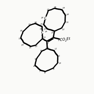 CCOC(=O)C(=C(C1CCCCCCCCC1)C1CCCCCCCCC1)C1CCCCCCCCC1